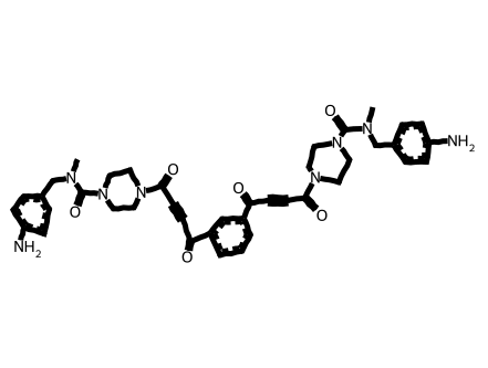 CN(Cc1ccc(N)cc1)C(=O)N1CCN(C(=O)C#CC(=O)c2cccc(C(=O)C#CC(=O)N3CCN(C(=O)N(C)Cc4ccc(N)cc4)CC3)c2)CC1